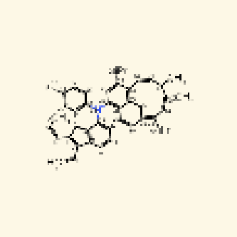 C=CC1=C(/C=C\C)Cc2c1cccc2N(c1ccc(C(C)C)cc1)c1cc(C(C)C)c2c3c1C=C/C(=C(C(C)C)/C=C(/C)C(C)/C=C\2)C3